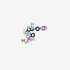 CNC(=O)c1ccccc1Nc1c(C(F)(F)F)cnc2[nH]c(-c3ccc(N4CCOCC4)cc3)cc12